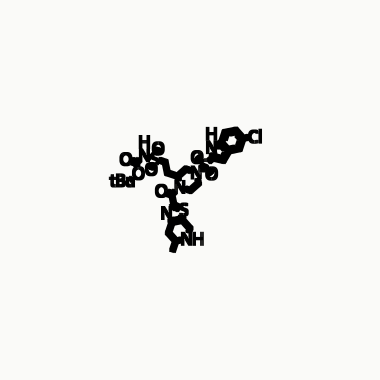 CC1Cc2nc(C(=O)N3CCN(S(=O)(=O)c4cc5cc(Cl)ccc5[nH]4)CC3CCS(=O)(=O)NC(=O)OC(C)(C)C)sc2CN1